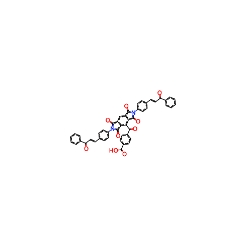 O=C(O)c1ccc(C(=O)c2c3c(=O)n(-c4ccc(C=CC(=O)c5ccccc5)cc4)c(=O)c3cc3c(=O)n(-c4ccc(C=CC(=O)c5ccccc5)cc4)c(=O)c23)cc1